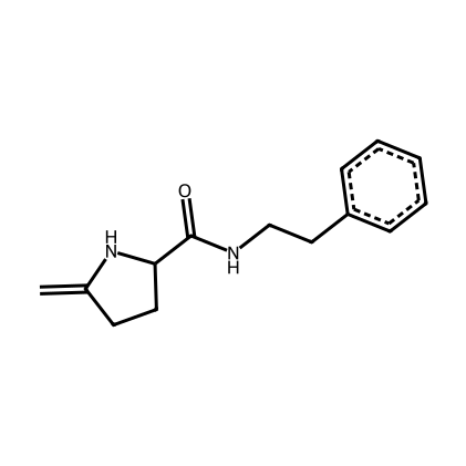 C=C1CCC(C(=O)NCCc2ccccc2)N1